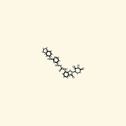 O=C1CCC(N2Cc3c(NC(=O)CNc4ccnc(Nc5ccc6c(c5)CCC6)n4)cccc3C2=O)C(=O)N1